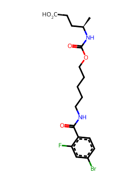 C[C@H](CCC(=O)O)NC(=O)OCCCCCNC(=O)c1ccc(Br)cc1F